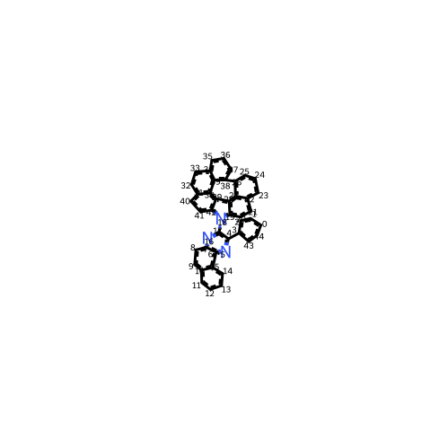 c1ccc(-c2nc3c(ccc4ccccc43)nc2-n2c3ccc4cccc5c4c3c3c4c(ccc6cccc-5c64)ccc32)cc1